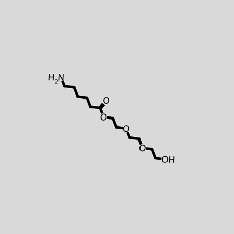 NCCCCCC(=O)OCCOCCOCCO